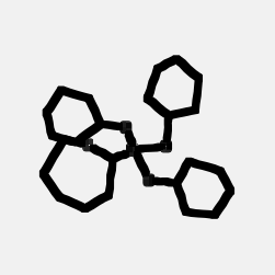 C1CCC(O[Si](OC2CCCCC2)(OC2CCCCC2)C2CCCCCC2)CC1